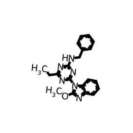 CCc1nc(NCc2ccccc2)nc(-n2c(OC)nc3ccccc32)n1